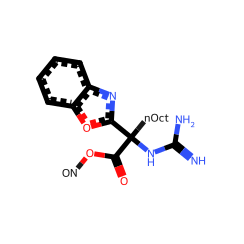 CCCCCCCCC(NC(=N)N)(C(=O)ON=O)c1nc2ccccc2o1